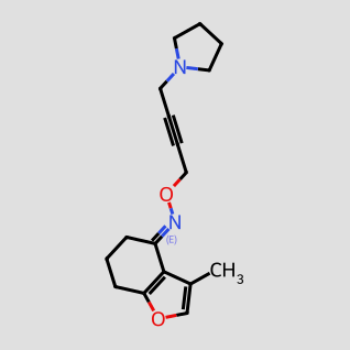 Cc1coc2c1/C(=N/OCC#CCN1CCCC1)CCC2